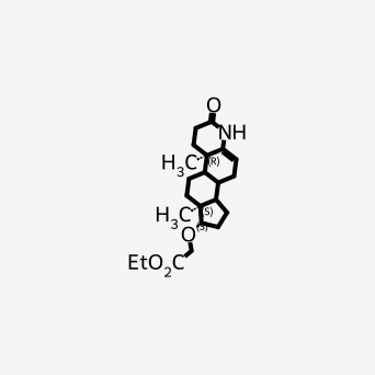 CCOC(=O)CO[C@H]1CCC2C3CC=C4NC(=O)CC[C@]4(C)C3CC[C@@]21C